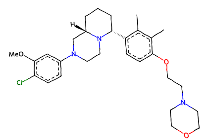 COc1cc(N2CCN3[C@@H](CCC[C@@H]3c3ccc(OCCN4CCOCC4)c(C)c3C)C2)ccc1Cl